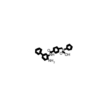 Nc1ccc(-c2ccccc2)cc1NC(=O)c1ccc(CN(C(=O)O)c2ccccc2)cc1